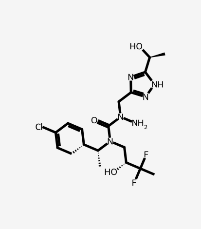 C[C@H](O)c1nc(CN(N)C(=O)N(C[C@@H](O)C(C)(F)F)[C@H](C)[C@H]2C=CC(Cl)=CC2)n[nH]1